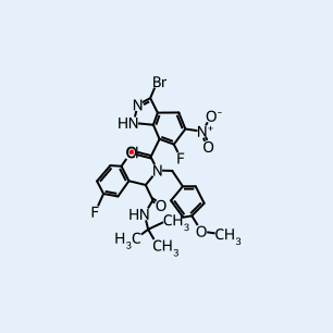 COc1ccc(CN(C(=O)c2c(F)c([N+](=O)[O-])cc3c(Br)n[nH]c23)C(C(=O)NC(C)(C)C)c2cc(F)ccc2Cl)cc1